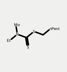 CCCCCCSC(=S)[N]([Mo])CC